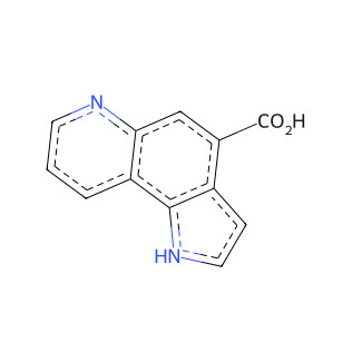 O=C(O)c1cc2ncccc2c2[nH]ccc12